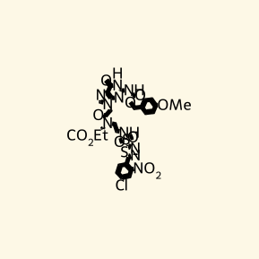 CCOC(=O)CN(CCNS(=O)(=O)c1nnc(-c2ccc(Cl)cc2[N+](=O)[O-])s1)C(=O)Cn1cnc2c(=O)[nH]c(NC(=O)OCc3ccc(OC)cc3)nc21